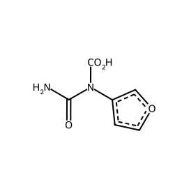 NC(=O)N(C(=O)O)c1ccoc1